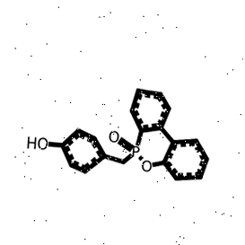 O=P1(Cc2ccc(O)cc2)Oc2ccccc2-c2ccccc21